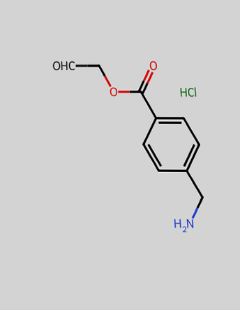 Cl.NCc1ccc(C(=O)OCC=O)cc1